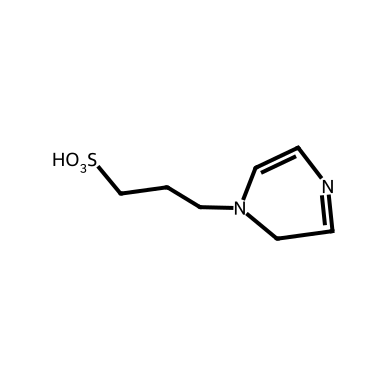 O=S(=O)(O)CCCN1C=CN=CC1